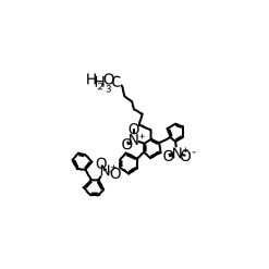 CCCCCCCCc1c(-c2ccccc2[N+](=O)[O-])ccc(-c2ccccc2)c1[N+](=O)[O-].O.O=[N+]([O-])c1ccccc1-c1ccccc1